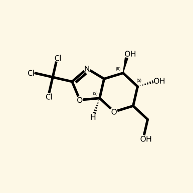 OCC1O[C@H]2OC(C(Cl)(Cl)Cl)=NC2[C@@H](O)[C@@H]1O